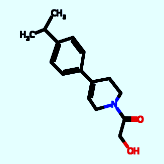 CC(C)c1ccc(C2=CCN(C(=O)CO)CC2)cc1